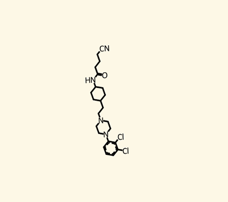 N#CCCCC(=O)NC1CCC(CCN2CCN(c3cccc(Cl)c3Cl)CC2)CC1